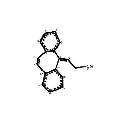 N#CCC=C1c2ccccc2C=Cc2ccccc21